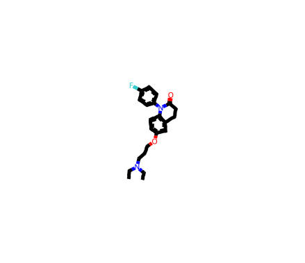 CCN(CC)CCCOc1ccc2c(c1)CCC(=O)N2c1ccc(F)cc1